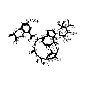 C=C1Oc2cc(OC)cc(C(=O)OC3COC(=O)C[C@H](N)c4cc(O)c(c(Cl)c4)O[C@@H]4C#CC=C3C3=CC=CC34O[C@@H]3OC(C)(C)[C@@H](N(C)C)[C@@H](O)[C@H]3O)c2NC1=O